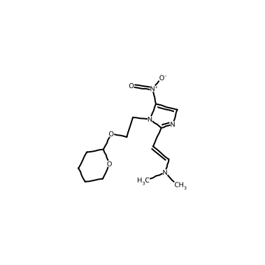 CN(C)C=Cc1ncc([N+](=O)[O-])n1CCOC1CCCCO1